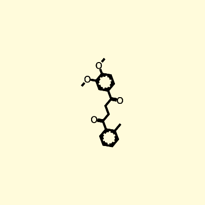 COc1ccc(C(=O)CCC(=O)c2ccccc2C)cc1OC